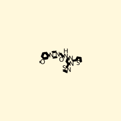 COc1cccc(N2CCN(CC(=O)Nc3cc(-c4nccs4)nc(-c4cccs4)n3)CC2)c1